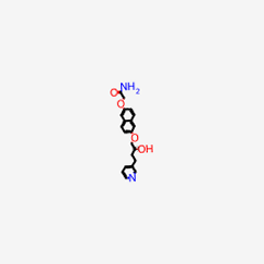 NC(=O)COc1ccc2cc(OC[C@@H](O)CCc3cccnc3)ccc2c1